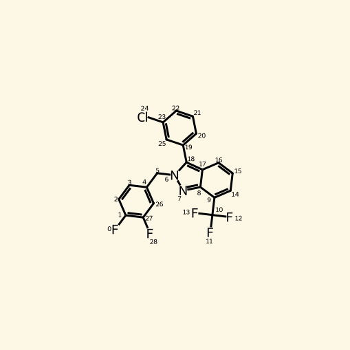 Fc1ccc(Cn2nc3c(C(F)(F)F)cccc3c2-c2cccc(Cl)c2)cc1F